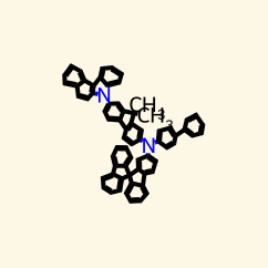 CC1(C)c2cc(N(c3ccc(-c4ccccc4)cc3)c3ccc4c(c3)C3(c5ccccc5-c5ccccc53)c3ccccc3-4)ccc2-c2ccc(-n3c4ccccc4c4c5ccccc5ccc43)cc21